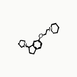 c1cc2c(cc1OCCN1CCCCC1)C(N1CCCC1)CC2